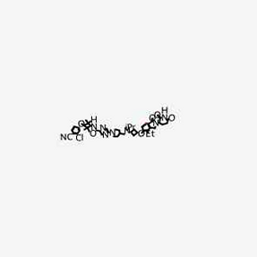 CCc1c(OC2CC(N(CC3CCN(c4cnc(C(=O)NC5C(C)(C)C(Oc6ccc(C#N)c(Cl)c6)C5(C)C)cn4)CC3)C(C)C)C2)ccc2c1CN([C@@H]1CCC(=O)NC1=O)C2=O